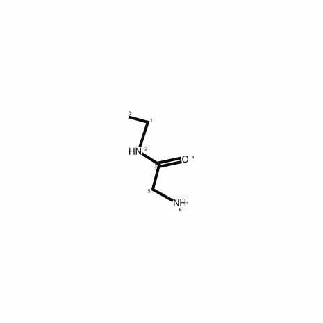 CCNC(=O)C[NH]